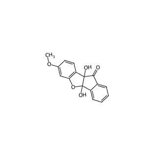 COc1ccc2c(c1)OC1(O)c3ccccc3C(=O)C21O